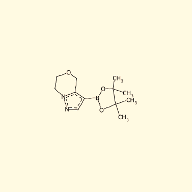 CC1(C)OB(c2cnn3c2COCC3)OC1(C)C